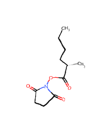 CCCC[C@H](C)C(=O)ON1C(=O)CCC1=O